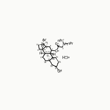 CCCN(CCC)CC(=O)OC1C[C@]2(C)[C@@H](C(C)=O)CC[C@H]2[C@@H]2CCC3CC(O)CC[C@]3(C)[C@@H]12.Cl